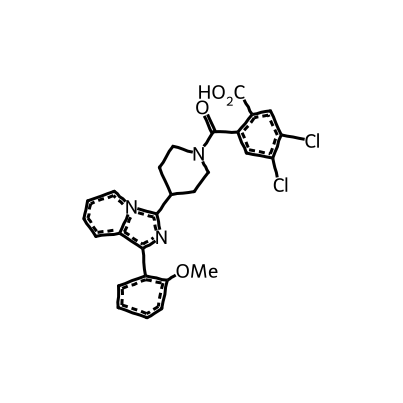 COc1ccccc1-c1nc(C2CCN(C(=O)c3cc(Cl)c(Cl)cc3C(=O)O)CC2)n2ccccc12